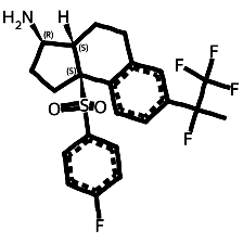 CC(F)(c1ccc2c(c1)CC[C@H]1[C@H](N)CC[C@@]21S(=O)(=O)c1ccc(F)cc1)C(F)(F)F